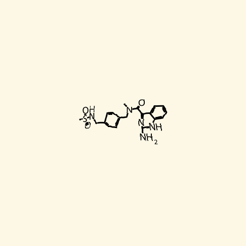 CN(Cc1ccc(CNS(C)(=O)=O)cc1)C(=O)C1=NC(N)Nc2ccccc21